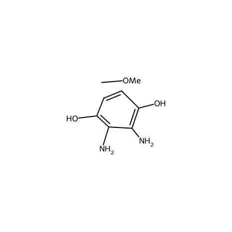 COC.Nc1c(O)ccc(O)c1N